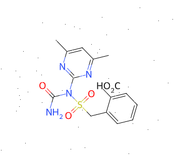 Cc1cc(C)nc(N(C(N)=O)S(=O)(=O)Cc2ccccc2C(=O)O)n1